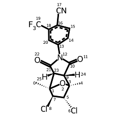 C[C@]12O[C@](C)([C@H](Cl)[C@H]1Cl)[C@H]1C(=O)N(c3ccc(C#N)c(C(F)(F)F)c3)C(=O)[C@H]12